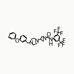 O=C(Nc1cc(C(F)(F)F)cc(C(F)(F)F)c1)N1CC(N2CCN(Cc3cccc(Oc4ccccc4)c3)CC2)C1